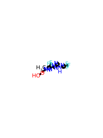 CN(CCOCCO)c1cc(C(F)(F)F)c(-c2cnc3c(Nc4ccc(C(F)(F)F)cn4)ccnc3n2)nn1